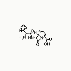 NC(C(=O)N[C@@H]1C(=O)N2C(C(=O)O)=CCS[C@@H]12)c1nccs1